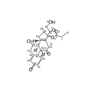 CCC(=O)O[C@]1(C(=O)CO)C(C)C[C@H]2[C@@H]3C(Cl)CC4=CC(=O)C=C[C@]4(C)[C@H]3C(=O)C[C@@]21C